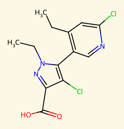 CCc1cc(Cl)ncc1-c1c(Cl)c(C(=O)O)nn1CC